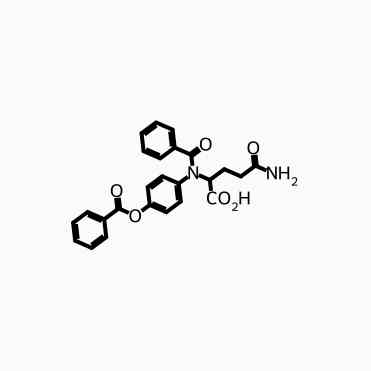 NC(=O)CCC(C(=O)O)N(C(=O)c1ccccc1)c1ccc(OC(=O)c2ccccc2)cc1